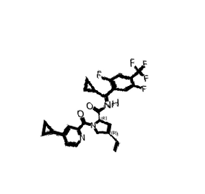 CC[C@@H]1C[C@H](C(=O)NC(c2cc(F)c(C(F)(F)F)cc2F)C2CC2)N(C(=O)c2cc(C3CC3)ccn2)C1